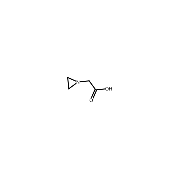 O=C(O)CN1CC1